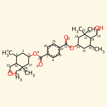 CC1CC(OC(=O)c2ccc(C(=O)OC3CC(C)C(CO)C(C)(C)C3)cc2)CC(C)(C)C1CO